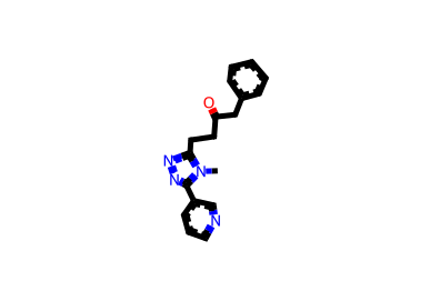 Cn1c(CCC(=O)Cc2ccccc2)nnc1-c1cccnc1